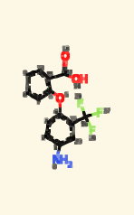 Nc1ccc(Oc2ccccc2C(=O)O)c(C(F)(F)F)c1